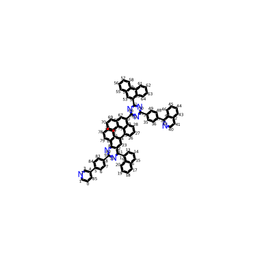 c1cncc(-c2ccc(-c3nc(-c4cccc5ccccc45)c4cc(-c5cccc6c(-c7nc(-c8ccc(-c9nccc%10ccccc9%10)cc8)nc(-c8cc9ccccc9c9ccccc89)n7)cc7ccccc7c56)c5ccccc5c4n3)cc2)c1